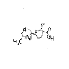 Cc1cncc(-c2ccc(C(=O)O)c(F)c2)n1